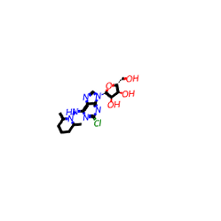 CC1CCCC(C)N1Nc1nc(Cl)nc2c1ncn2[C@@H]1O[C@H](CO)[C@@H](O)[C@H]1O